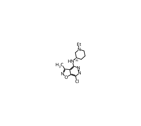 CCN1CCC[C@@H](Nc2nnc(Cl)c3onc(C)c23)C1